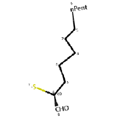 CCCCCCCCCC[C@H]([S])C=O